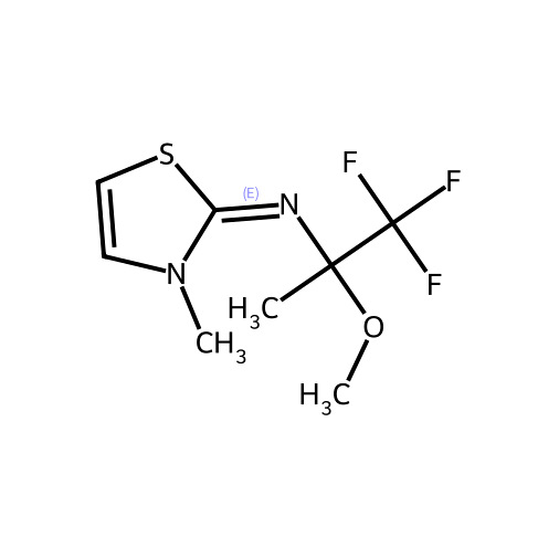 COC(C)(/N=c1/sccn1C)C(F)(F)F